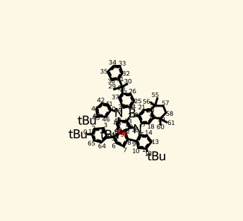 CC(C)(C)c1ccc(-c2ccc(-c3cc(C(C)(C)C)ccc3N3c4cc5c(cc4B4c6ccc(C(C)(C)c7ccccc7)cc6N(c6cccc(C(C)(C)C)c6)c6cc(C(C)(C)C)cc3c64)C(C)(C)CCC5(C)C)cc2)cc1